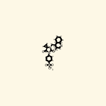 O=C1N(c2ccc(S(=O)(=O)C(F)(F)F)cc2)C(=O)C2(CC2)N1Cc1c(Cl)cnc2ccccc12